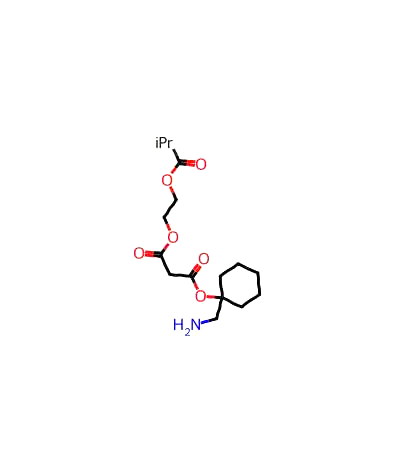 CC(C)C(=O)OCCOC(=O)CC(=O)OC1(CN)CCCCC1